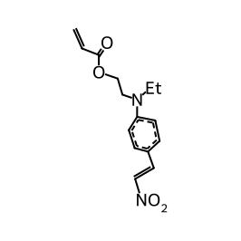 C=CC(=O)OCCN(CC)c1ccc(/C=C/[N+](=O)[O-])cc1